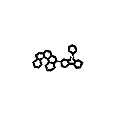 c1ccc(-n2c3ccccc3c3ccc(-c4cc5ccc6ccc7ccccc7c6c5c5ccccc45)cc32)cc1